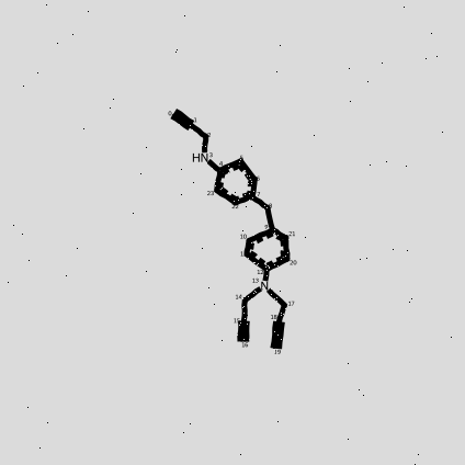 C#CCNc1ccc(Cc2ccc(N(CC#C)CC#C)cc2)cc1